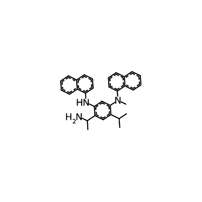 CC(C)c1cc(C(C)N)c(Nc2cccc3ccccc23)cc1N(C)c1cccc2ccccc12